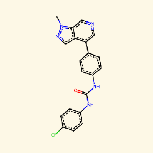 Cn1ncc2c(-c3ccc(NC(=O)Nc4ccc(Cl)cc4)cc3)cncc21